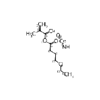 C=C(C)C(=O)OC(=O)CCCOCC.N=C=O